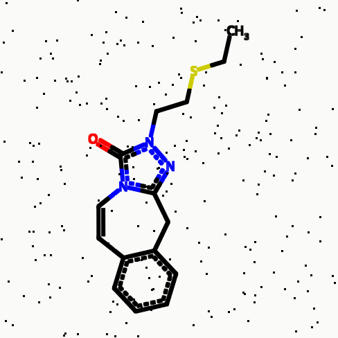 CCSCCn1nc2n(c1=O)C=Cc1ccccc1C2